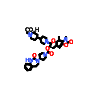 Cc1cc(C[C@@H](OC(=O)N2CCC(N3CCc4ccccc4NC3=O)CC2)C(=O)N2CCC(C3CCN(CC(=O)O)CC3)CC2)cc2oc(=O)n(C)c12